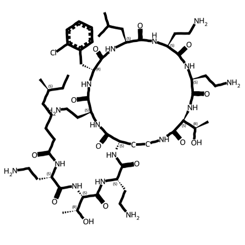 CC[C@H](C)CCCCC(=O)N[C@@H](CCN)C(=O)N[C@H](C(=O)N[C@@H](CCN)C(=O)N[C@H]1CCNC(=O)[C@H]([C@@H](C)O)NC(=O)[C@H](CCN)NC(=O)[C@H](CCN)NC(=O)[C@H](CC(C)C)NC(=O)[C@@H](Cc2ccccc2Cl)NC(=O)[C@H](CCN)NC1=O)[C@@H](C)O